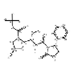 CO[C@H]([C@@H](C)C(=O)N1C(=O)OC[C@H]1c1ccccc1)[C@@H]1C[C@@H](O)CN1C(=O)OC(C)(C)C